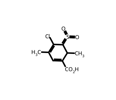 CC1=C(Cl)C(=S(=O)=O)C(C)C(C(=O)O)=C1